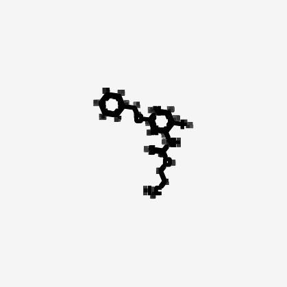 CCCOC(=S)Nc1nc(OCc2ccccc2)ncc1F